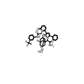 Cl.NC(=O)C(n1nc(-c2cccc(=O)n2CC(=O)Nc2cccc(C(F)(F)F)c2)cc1-c1ccccc1)C12C[C@@H]3C[C@@H](CC(O)(C3)C1)C2